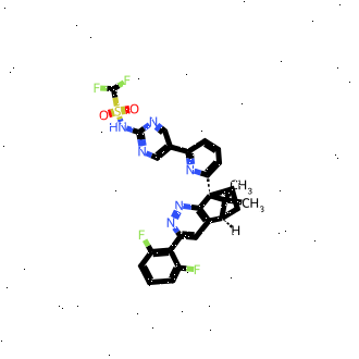 CC1(C)[C@H]2CC[C@]1(c1cccc(-c3cnc(NS(=O)(=O)C(F)F)nc3)n1)c1nnc(-c3c(F)cccc3F)cc12